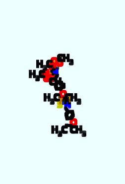 CCC(C)Oc1ccc(/C=N/N(C)[PH](=S)C(C)Oc2ccc(CCN(CP(=O)(OC)OC)CP(=O)(OC)OC)cc2)cc1